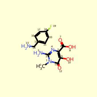 Cn1c(N)nc(C(=O)O)c(O)c1=O.NCc1ccc(F)cc1